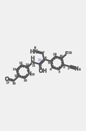 N#Cc1ccc(/C(C=N)=C(\O)Nc2ccc(C=O)cn2)cc1F